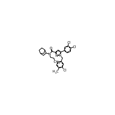 CCCN(C(=O)c1cc(-c2ccc(Cl)c(Cl)c2)n(Cc2ccc(C)c(Cl)c2)n1)C1CC2CCC1C2